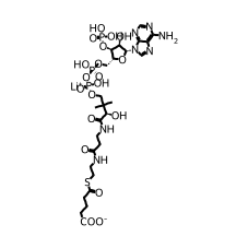 CC(C)(COP(=O)(O)OP(=O)(O)OC[C@H]1O[C@@H](n2cnc3c(N)ncnc32)[C@H](O)[C@@H]1OP(=O)(O)O)[C@@H](O)C(=O)NCCC(=O)NCCSC(=O)CCCC(=O)[O-].[Li+]